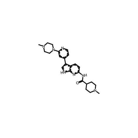 CN1CCC(C(=O)Nc2ccc3c(-c4ccnc(N5CCN(C)CC5)c4)c[nH]c3n2)CC1